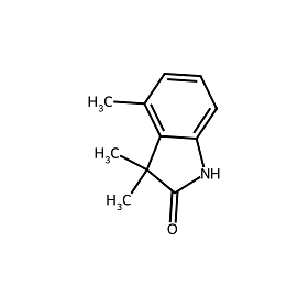 Cc1cccc2c1C(C)(C)C(=O)N2